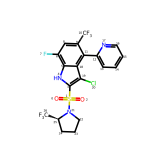 O=S(=O)(c1[nH]c2c(F)cc(C(F)(F)F)c(-c3ccccn3)c2c1Cl)N1CCC[C@H]1C(F)(F)F